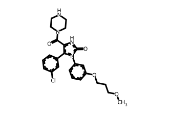 COCCCOc1cccc(-n2c(-c3cccc(Cl)c3)c(C(=O)N3CCNCC3)[nH]c2=O)c1